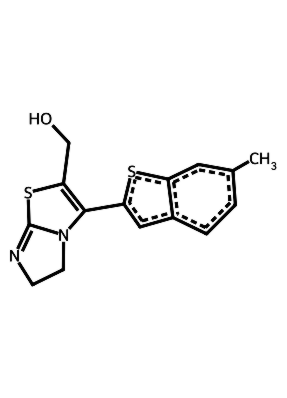 Cc1ccc2cc(C3=C(CO)SC4=NCCN43)sc2c1